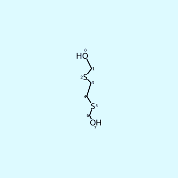 OCSCCSCO